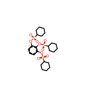 O=S(=O)(Oc1cccc(OS(=O)(=O)C2CCCCC2)c1OS(=O)(=O)C1CCCCC1)C1CCCCC1